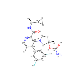 Cc1cnc(C(=O)N[C@@H](C)C2CC2)c(N2CC[C@](C)(OC(N)=O)C2)c1-c1cc(F)cc(F)c1